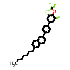 CCCCCCCc1ccc2cc(-c3ccc(-c4cc(F)c(OC(F)(F)F)c(F)c4)cc3)ccc2c1